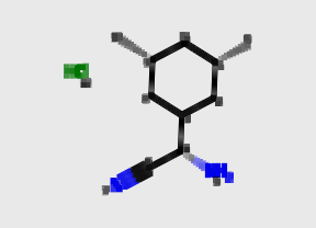 C[C@@H]1CC([C@H](N)C#N)C[C@H](C)C1.Cl